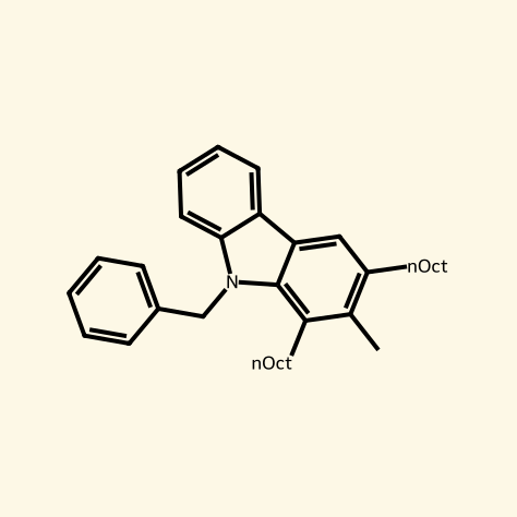 CCCCCCCCc1cc2c3ccccc3n(Cc3ccccc3)c2c(CCCCCCCC)c1C